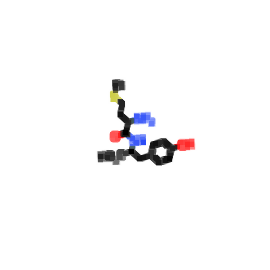 CCSCCC(N)C(=O)NC(Cc1ccc(O)cc1)C(=O)O